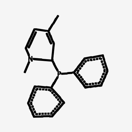 CC1=CC(P(c2ccccc2)c2ccccc2)N(C)C=C1